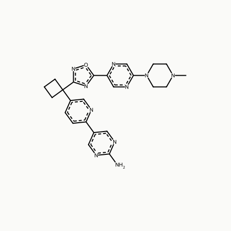 CN1CCN(c2cnc(-c3nc(C4(c5ccc(-c6cnc(N)nc6)nc5)CCC4)no3)cn2)CC1